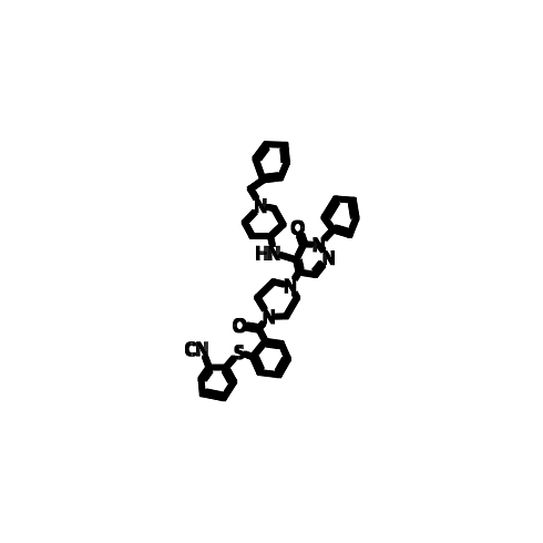 [C-]#[N+]c1ccccc1Sc1ccccc1C(=O)N1CCN(c2cnn(-c3ccccc3)c(=O)c2NC2CCN(Cc3ccccc3)CC2)CC1